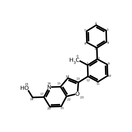 Cc1c(-c2ccccc2)cccc1-c1cc2nc(CO)ccc2o1